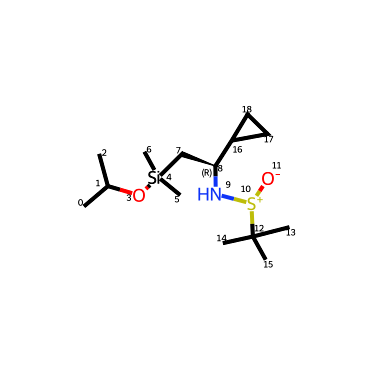 CC(C)O[Si](C)(C)C[C@H](N[S+]([O-])C(C)(C)C)C1CC1